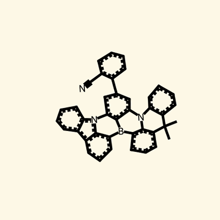 CC1(C)c2ccccc2N2c3cc(-c4ccccc4C#N)cc4c3B(c3cccc1c32)c1cccc2c3ccccc3n-4c12